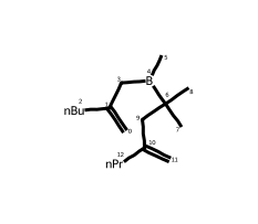 C=C(CCCC)CB(C)C(C)(C)CC(=C)CCC